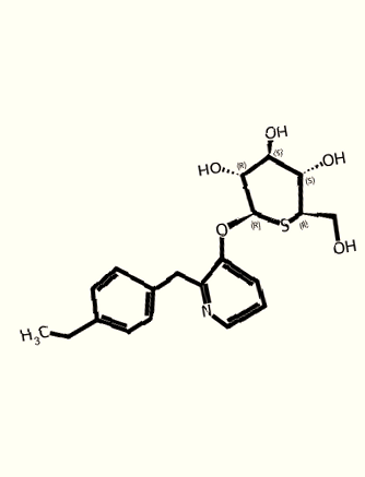 CCc1ccc(Cc2ncccc2O[C@@H]2S[C@H](CO)[C@@H](O)[C@H](O)[C@H]2O)cc1